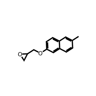 Cc1ccc2cc(OCC3CO3)ccc2c1